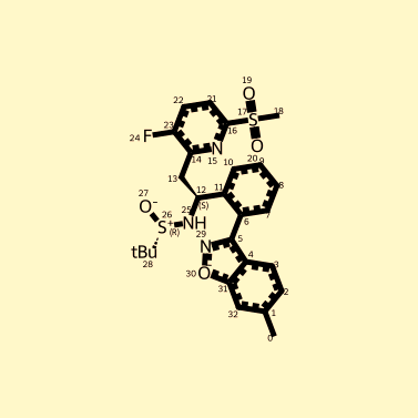 Cc1ccc2c(-c3ccccc3[C@H](Cc3nc(S(C)(=O)=O)ccc3F)N[S@@+]([O-])C(C)(C)C)noc2c1